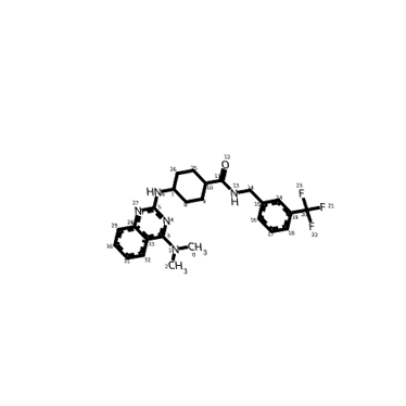 CN(C)c1nc(NC2CCC(C(=O)NCc3cccc(C(F)(F)F)c3)CC2)nc2ccccc12